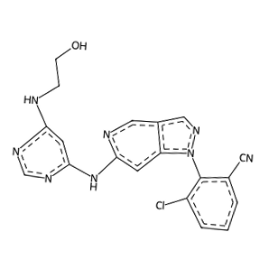 N#Cc1cccc(Cl)c1-n1ncc2cnc(Nc3cc(NCCO)ncn3)cc21